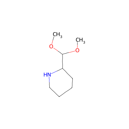 COC(OC)C1CCCCN1